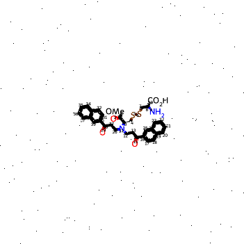 COC(=O)[C@H](CSSCC(N)C(=O)O)N(CCC(=O)c1ccc2ccccc2c1)CCC(=O)c1ccc2ccccc2c1